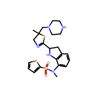 CN(c1cccc2c1NC(C1=NCC(C)(CN3CCNCC3)S1)C2)S(=O)(=O)c1cccs1